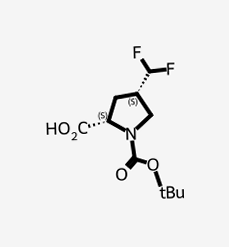 CC(C)(C)OC(=O)N1C[C@@H](C(F)F)C[C@H]1C(=O)O